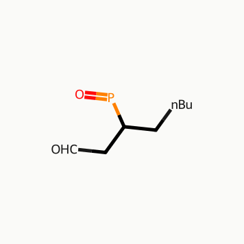 CCCCCC(CC=O)P=O